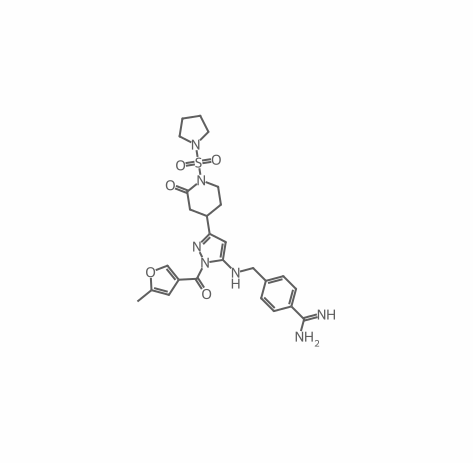 Cc1cc(C(=O)n2nc(C3CCN(S(=O)(=O)N4CCCC4)C(=O)C3)cc2NCc2ccc(C(=N)N)cc2)co1